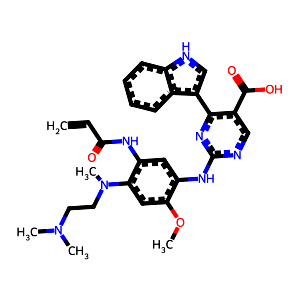 C=CC(=O)Nc1cc(Nc2ncc(C(=O)O)c(-c3c[nH]c4ccccc34)n2)c(OC)cc1N(C)CCN(C)C